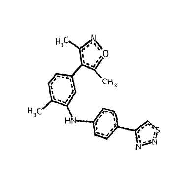 Cc1ccc(-c2c(C)noc2C)cc1Nc1ccc(-c2csnn2)cc1